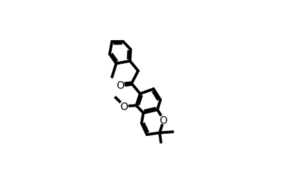 COc1c(C(=O)Cc2ccccc2C)ccc2c1C=CC(C)(C)O2